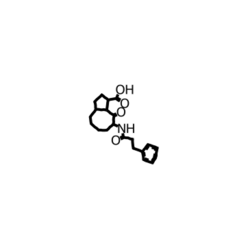 O=C(CCc1ccccc1)NC1CCCCC2CCC(C(=O)O)C2C1=O